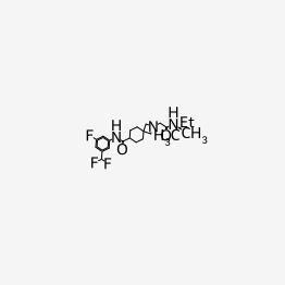 CCC(C)(C)NC(=O)CN1CC2(CCC(C(=O)Nc3cc(F)cc(C(F)F)c3)CC2)C1